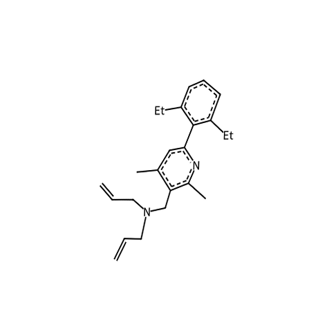 C=CCN(CC=C)Cc1c(C)cc(-c2c(CC)cccc2CC)nc1C